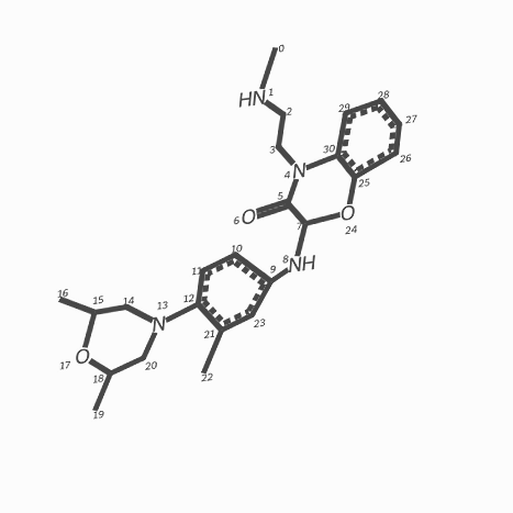 CNCCN1C(=O)C(Nc2ccc(N3CC(C)OC(C)C3)c(C)c2)Oc2ccccc21